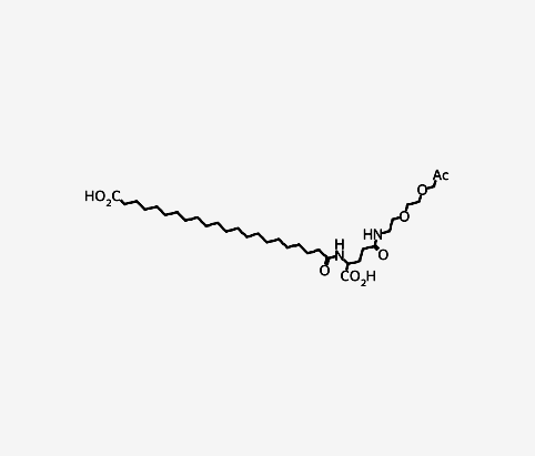 CC(=O)COCCOCCNC(=O)CCC(NC(=O)CCCCCCCCCCCCCCCCCCCCC(=O)O)C(=O)O